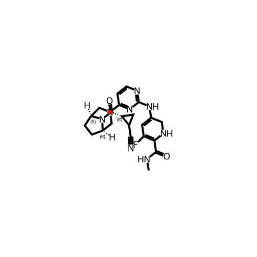 CNC(=O)C1=C(F)C=C(Nc2nccc(N3C[C@H]4CC[C@@H](C3)N4C(=O)[C@@H]3CC3C#N)n2)CN1